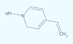 C=CC1=CCN(CCC)C=C1